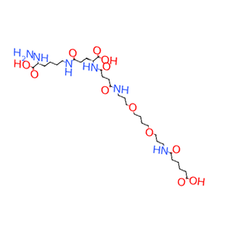 NN[C@@H](CCCCNC(=O)CC[C@H](NC(=O)CCC(=O)NCCCOCCCCOCCCNC(=O)CCCCC(=O)O)C(=O)O)C(=O)O